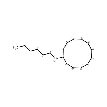 CCCCCCOC1CCCCCCCCCCC1